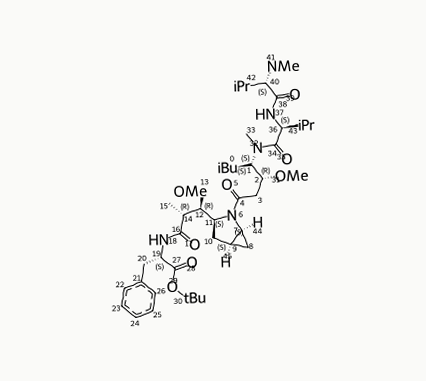 CC[C@H](C)[C@@H]([C@@H](CC(=O)N1[C@H]2C[C@H]2C[C@H]1[C@H](OC)[C@@H](C)C(=O)N[C@@H](Cc1ccccc1)C(=O)OC(C)(C)C)OC)N(C)C(=O)[C@@H](NC(=O)[C@@H](NC)C(C)C)C(C)C